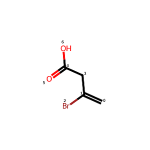 C=C(Br)CC(=O)O